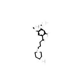 COc1cc(F)c(C(=O)CCCN2CCC(C)CC2)cc1OC